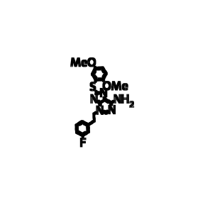 COc1ccc(OC)c(Sc2nc3c(N)ncn(CCc4cccc(F)c4)c-3n2)c1